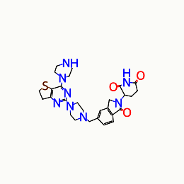 O=C1CCC(N2Cc3cc(CN4CCN(c5nc6c(c(N7CCNCC7)n5)SCC6)CC4)ccc3C2=O)C(=O)N1